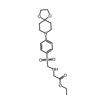 CCOC(=O)CNCS(=O)(=O)c1ccc(N2CCC3(CC2)OCCO3)cc1